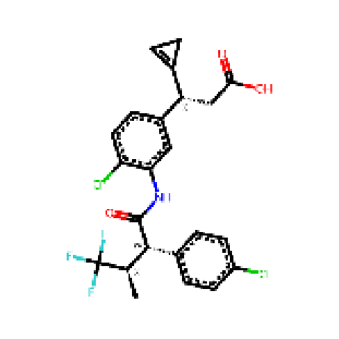 C[C@H]([C@H](C(=O)Nc1cc([C@@H](CC(=O)O)C2=CC2)ccc1Cl)c1ccc(Cl)cc1)C(F)(F)F